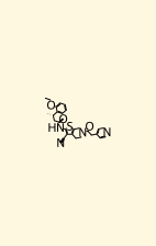 CCOc1ccccc1[C@@H](C)CC(=O)Nc1sc2c(c1C#N)CCN(C(=O)Cc1ccncc1)C2